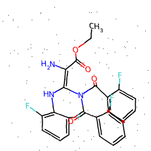 CCOC(=O)/C(N)=C(/Nc1c(F)cccc1F)N(C(=O)c1ccccc1F)C(=O)c1ccccc1F